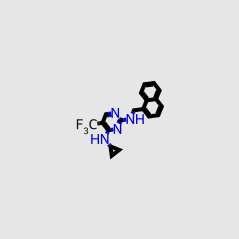 FC(F)(F)c1cnc(NCc2cccc3ccccc23)nc1NC1CC1